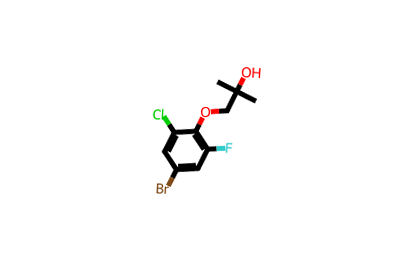 CC(C)(O)COc1c(F)cc(Br)cc1Cl